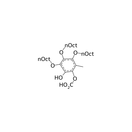 CCCCCCCCOc1c(C)c(OC(=O)O)c(O)c(OCCCCCCCC)c1OCCCCCCCC